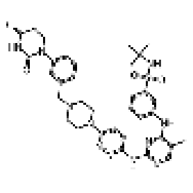 Cc1cnc(Nc2ccc(N3CCN(Cc4cccc(N5CCC(=O)NC5=O)c4)CC3)nn2)nc1Nc1cccc(S(=O)(=O)NC(C)(C)C)c1